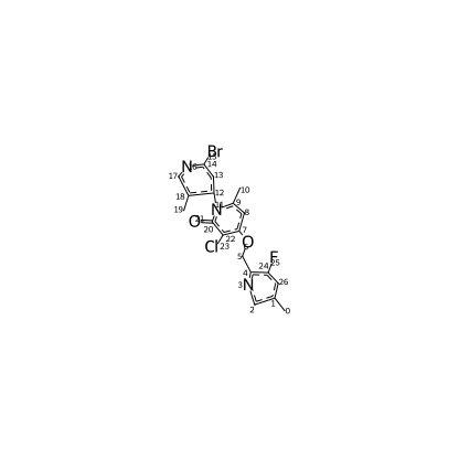 Cc1cnc(COc2cc(C)n(-c3cc(Br)ncc3C)c(=O)c2Cl)c(F)c1